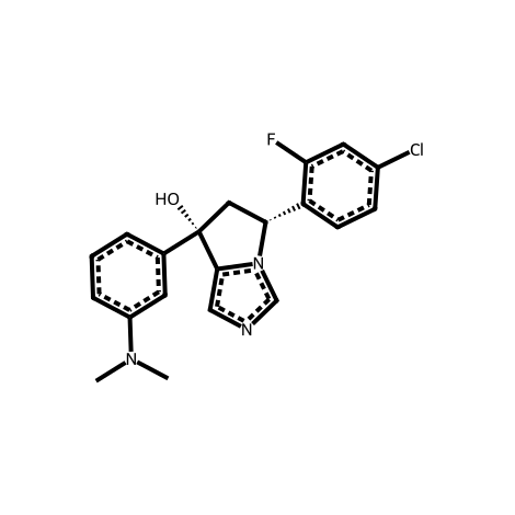 CN(C)c1cccc([C@@]2(O)C[C@H](c3ccc(Cl)cc3F)n3cncc32)c1